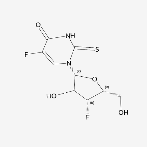 O=c1[nH]c(=S)n([C@@H]2O[C@H](CO)[C@H](F)C2O)cc1F